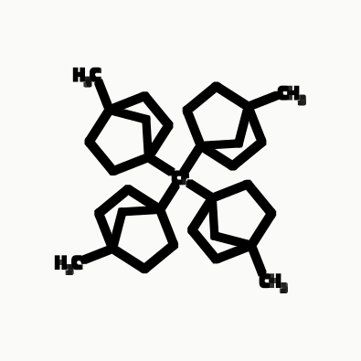 CC12CC[C]([Cr]([C]34CCC(C)(CC3)C4)([C]34CCC(C)(CC3)C4)[C]34CCC(C)(CC3)C4)(CC1)C2